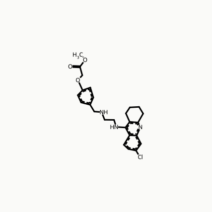 COC(=O)COc1ccc(CNCCNc2c3c(nc4cc(Cl)ccc24)CCCC3)cc1